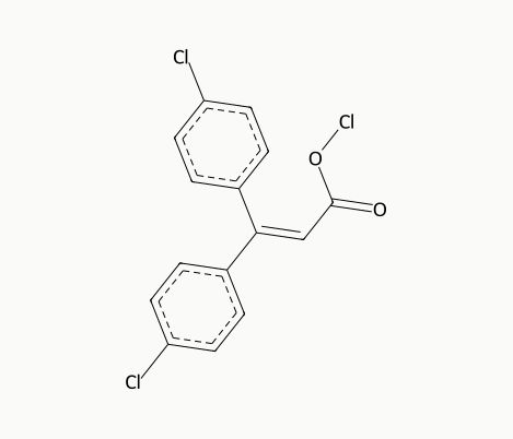 O=C(C=C(c1ccc(Cl)cc1)c1ccc(Cl)cc1)OCl